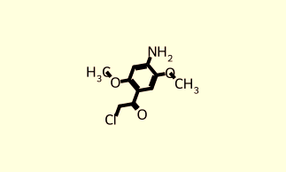 COc1cc(C(=O)CCl)c(OC)cc1N